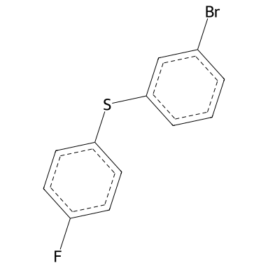 Fc1ccc(Sc2cccc(Br)c2)cc1